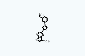 C=Cc1cccc(-n2cnc(-c3cnc4[nH]cc(C(=O)O)c4n3)c2)c1